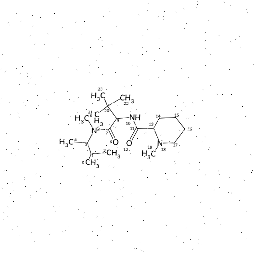 CC(C)C(C)N(C)C(=O)C(NC(=O)C1CCCCN1C)C(C)(C)C